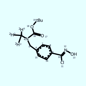 [2H]C([2H])([2H])N(Cc1ccc(/C(Cl)=N/O)cc1)C(=O)OC(C)(C)C